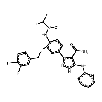 NC(=O)c1c(-c2ccc(N[S+]([O-])C(F)F)c(OCc3ccc(F)c(F)c3)c2)n[nH]c1Nc1ccccn1